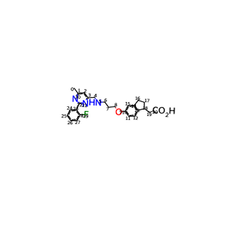 Cc1cc(CNCCCOc2ccc3c(c2)CC[C@H]3CC(=O)O)nc(-c2ccccc2F)n1